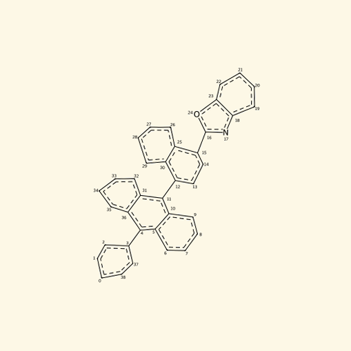 c1ccc(-c2c3ccccc3c(-c3ccc(-c4nc5ccccc5o4)c4ccccc34)c3ccccc23)cc1